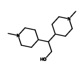 CN1CCC(C(CO)C2CCN(C)CC2)CC1